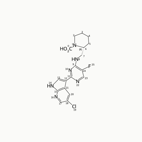 O=C(O)N1CCCC[C@@H]1CNc1nc(-c2c[nH]c3ncc(Cl)cc23)ncc1F